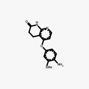 CSc1cc(Oc2ccnc3c2CCC(=O)N3)ccc1N